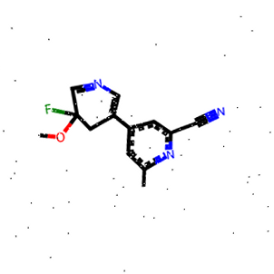 COC1(F)C=NC=C(c2cc(C)nc(C#N)c2)C1